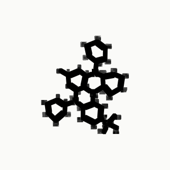 Cc1cc2c3c(c1)N(c1ccccc1)c1ccc([Si](C)(C)C)cc1B3c1ccccc1N2c1ccccc1